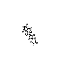 Cc1nn(C)c(S(=O)(=O)N2CC3(CCCC3)C2)c1Cl